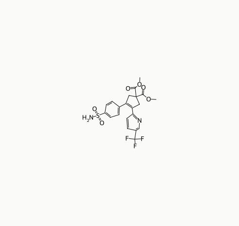 COC(=O)C1(C(=O)OC)CC(c2ccc(S(N)(=O)=O)cc2)=C(c2ccc(C(F)(F)F)cn2)C1